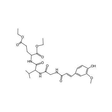 CCOC(=O)CCC(NC(=O)C(NC(=O)CNC(=O)/C=C/c1ccc(O)c(OC)c1)C(C)C)C(=O)OCC